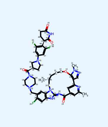 Cc1cc2cc(n1)-c1cnn(C)c1OCCC[C@@H](C)CN1/C(=N/C2=O)Nc2cc(F)c(CN3CCN(C(=O)[C@@H]4CCN(c5cc(F)c([C@H]6CCC(=O)NC6=O)c(F)c5)C4)CC3)cc21